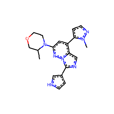 CC1COCCN1c1cc(-c2ccnn2C)c2cnc(-c3cc[nH]c3)n2n1